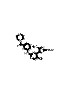 CNc1nc(C)c(-c2nc(Nc3cccc(C(=O)N4CCOCC4)c3)ncc2C#N)s1